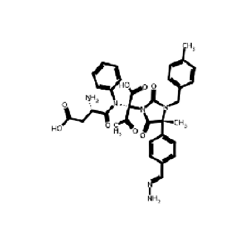 CC(=O)[C@@](C(=O)O)(N1C(=O)N(Cc2ccc(C)cc2)[C@](C)(c2ccc(C=NN)cc2)C1=O)N(C(=O)[C@@H](N)CC(=O)O)c1ccccc1